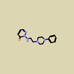 O=c1cccnn1NCCN1CCN(c2ccccc2)CC1